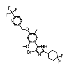 COc1cc(OCc2ccc(C(F)(F)F)nc2)c(C)cc1-c1[nH]c(C2CCC(F)(F)CC2)nc1Br